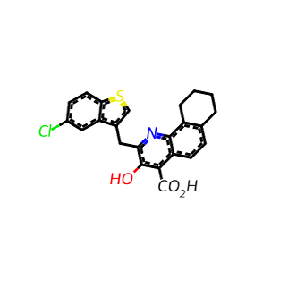 O=C(O)c1c(O)c(Cc2csc3ccc(Cl)cc23)nc2c3c(ccc12)CCCC3